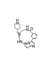 O=C1NCCN(CC2CCNCC2)CCNc2ccc3ncc(n3n2)-c2cccc1c2